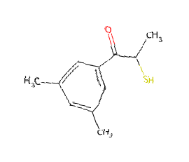 Cc1cc(C)cc(C(=O)C(C)S)c1